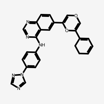 C1=CCCC(C2=COC=C(c3ccc4ncnc(Nc5ccc(-n6cncn6)cc5)c4c3)O2)=C1